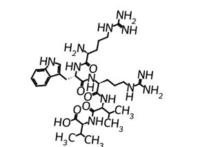 CC(C)[C@H](NC(=O)[C@@H](NC(=O)[C@H](CCCNC(=N)N)NC(=O)[C@H](Cc1c[nH]c2ccccc12)NC(=O)[C@@H](N)CCCNC(=N)N)C(C)C)C(=O)O